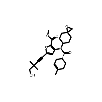 COC(=O)c1sc(C#CC(C)(C)CO)cc1N(C(=O)[C@H]1CC=C(C)CC1)C1CCC2(CC1)CO2